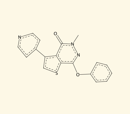 Cn1nc(Oc2ccccc2)c2scc(-c3ccncc3)c2c1=O